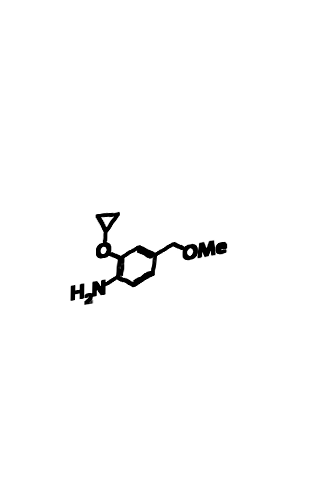 COCc1ccc(N)c(OC2CC2)c1